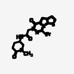 CC(C)c1nn(CC(=O)NC2CCC(=O)N(C)C2)c(=O)c2cc3ccsc3n12